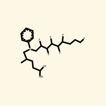 CCCC(CC)CCC(C)CN(CC(F)C(F)C(F)C(F)C(F)CCCF)c1ccccc1